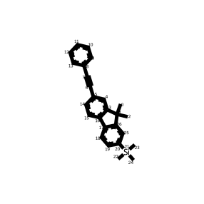 CC1(C)c2cc(C#Cc3ccccc3)ccc2-c2ccc([Si](C)(C)C)cc21